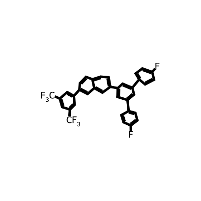 Fc1ccc(-c2cc(-c3ccc(F)cc3)cc(-c3ccc4ccc(-c5cc(C(F)(F)F)cc(C(F)(F)F)c5)cc4c3)c2)cc1